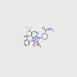 CC(=O)Nc1ccccc1Nc1nc(N[C@@H]2CCC[C@H](C(N)=O)C2)ncc1C(F)(F)F